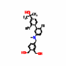 CCCc1cc(C(O)(C(F)(F)F)C(F)(F)F)ccc1-c1cc(N(C)Cc2ccc(CO)c(CO)c2)ccc1CC